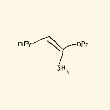 CCCC=C([SiH3])CCC